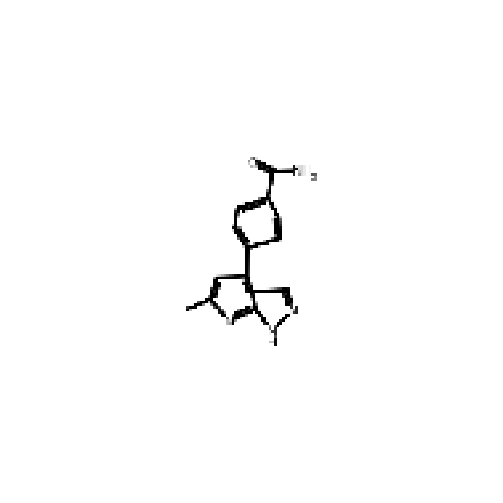 Cc1cc(-c2ccc(C(N)=O)cc2)c2cn[nH]c2n1